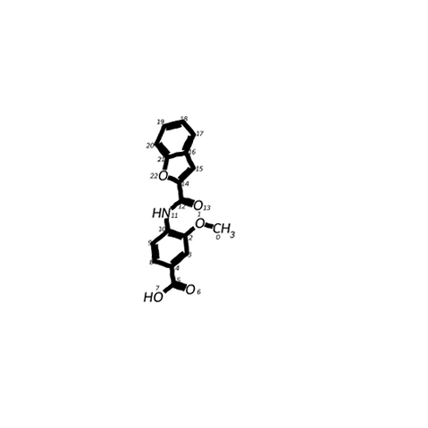 COc1cc(C(=O)O)ccc1NC(=O)c1cc2ccccc2o1